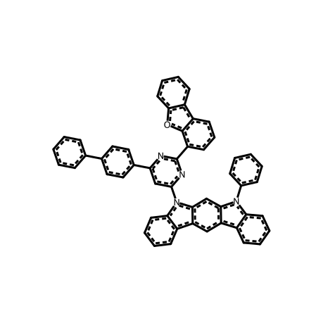 c1ccc(-c2ccc(-c3cc(-n4c5ccccc5c5cc6c7ccccc7n(-c7ccccc7)c6cc54)nc(-c4cccc5c4oc4ccccc45)n3)cc2)cc1